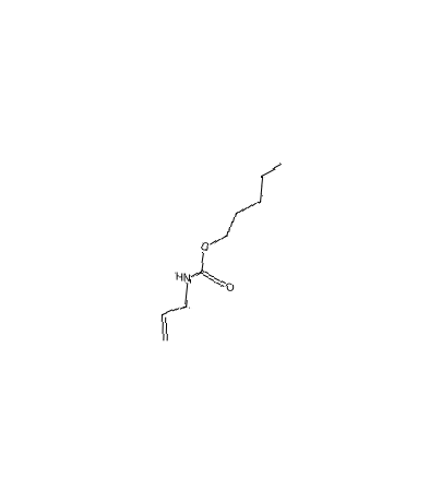 C=C[CH]NC(=O)OCCCCC